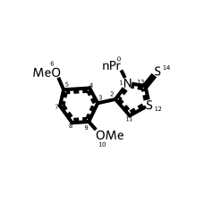 CCCn1c(-c2cc(OC)ccc2OC)csc1=S